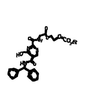 CCOC(=O)OCCOC(=O)CNC(=O)c1ncc(C(=O)NC(c2ccccc2)c2ccccc2)c(O)n1